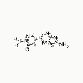 Nc1nc2ncc(-c3cnn(C4CC4)c(=O)c3)nc2s1